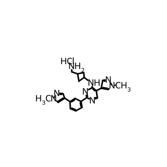 Cl.Cn1cc(-c2cccc(-c3ncc(-c4cnn(C)c4)c(NC4CC(CN)C4)n3)c2)cn1